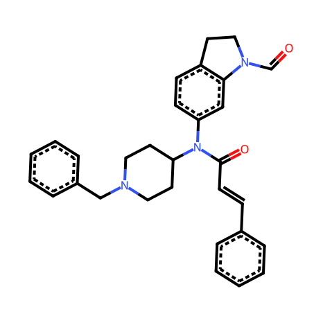 O=CN1CCc2ccc(N(C(=O)C=Cc3ccccc3)C3CCN(Cc4ccccc4)CC3)cc21